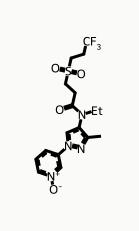 CCN(C(=O)CCS(=O)(=O)CCC(F)(F)F)c1cn(-c2ccc[n+]([O-])c2)nc1C